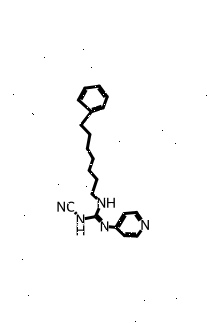 N#CNC(=Nc1ccncc1)NCCCCCCCc1ccccc1